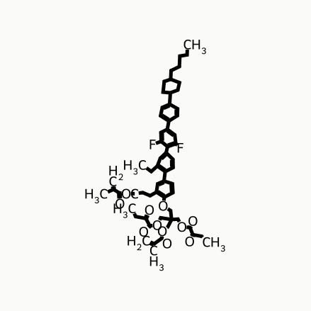 C=C(C)C(=O)OCCCc1cc(-c2ccc(-c3c(F)cc(-c4ccc(C5CCC(CCCCC)CC5)cc4)cc3F)cc2CC)ccc1OCC(COC(=O)C(=C)C)(COC(=O)C(=O)CC)COC(=O)C(=O)CC